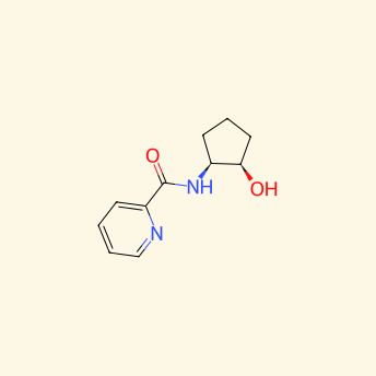 O=C(N[C@H]1CCC[C@H]1O)c1ccccn1